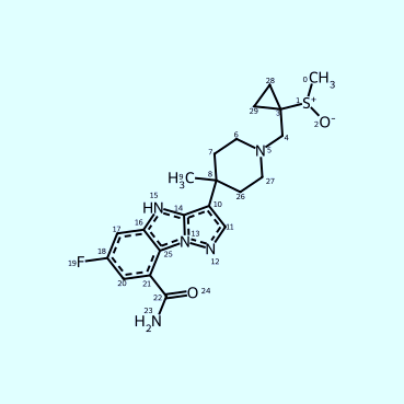 C[S+]([O-])C1(CN2CCC(C)(c3cnn4c3[nH]c3cc(F)cc(C(N)=O)c34)CC2)CC1